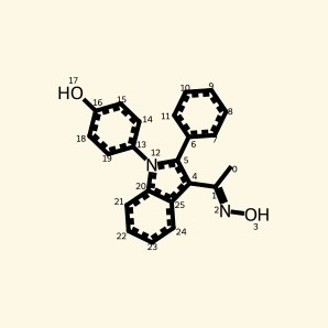 CC(=NO)c1c(-c2ccccc2)n(-c2ccc(O)cc2)c2ccccc12